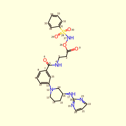 O=C(CCNC(=O)c1cccc(N2CCC[C@H](Nc3ncccn3)C2)c1)ONS(=O)(=O)c1ccccc1